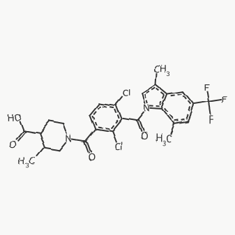 Cc1cn(C(=O)c2c(Cl)ccc(C(=O)N3CCC(C(=O)O)C(C)C3)c2Cl)c2c(C)cc(C(F)(F)F)cc12